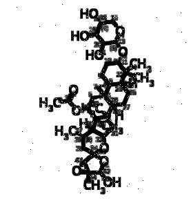 CC(=O)O[C@@H]1C[C@@]23C[C@@]24CC[C@H](O[C@@H]2OC[C@@H](O)C(O)C2O)C(C)(C)[C@@H]4CC[C@H]3[C@]2(C)CC3OC4(C[C@@H](C)[C@@H]3[C@@]12C)OC(O)C1(C)OC41